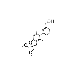 COCC1(COC)Cc2c(cc(C)c(-c3cccc(CO)c3)c2C)O1